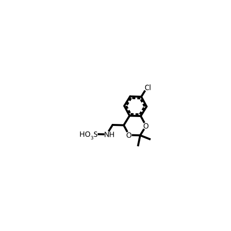 CC1(C)Oc2cc(Cl)ccc2C(CNS(=O)(=O)O)O1